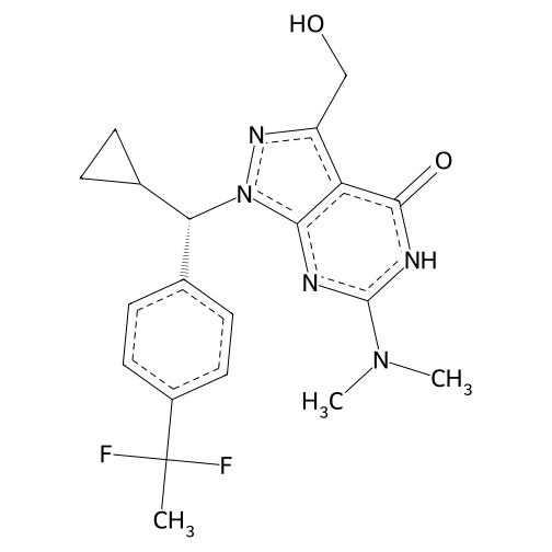 CN(C)c1nc2c(c(CO)nn2[C@H](c2ccc(C(C)(F)F)cc2)C2CC2)c(=O)[nH]1